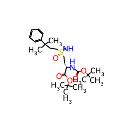 CC(C)(C)OC(=O)N[C@@H](CCS(=N)(=O)CCC(C)(C)c1ccccc1)C(=O)OC(C)(C)C